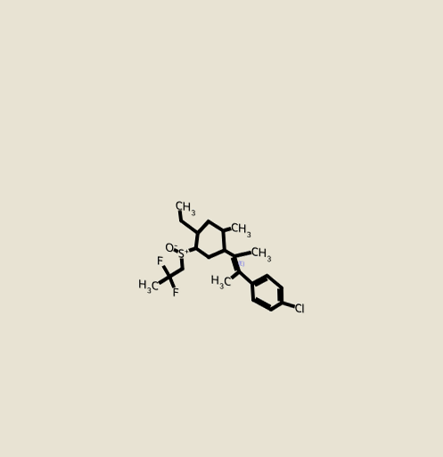 CCC1CC(C)C(/C(C)=C(\C)c2ccc(Cl)cc2)CC1[S+]([O-])CC(C)(F)F